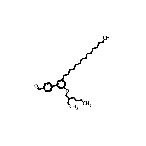 CCCCCCCCCCCCCCCc1cc(OCC(CC)CCCC)cc(-c2ccc(C=O)cc2)c1